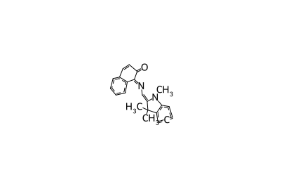 CN1/C(=C\N=C2\C(=O)C=Cc3ccccc32)C(C)(C)c2ccccc21